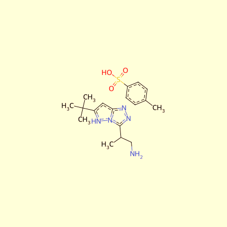 CC(CN)c1nnc2cc(C(C)(C)C)[nH]n12.Cc1ccc(S(=O)(=O)O)cc1